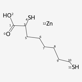 O=C(O)C(S)CCCCCCS.[Zn]